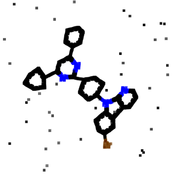 Brc1ccc2c(c1)c1cccnc1n2-c1ccc(-c2nc(-c3ccccc3)cc(-c3ccccc3)n2)cc1